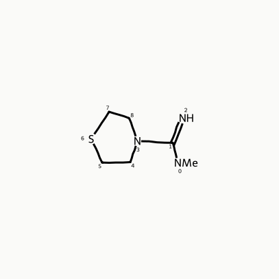 CNC(=N)N1CCSCC1